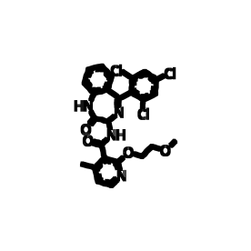 COCCOc1nccc(C)c1C(=O)NC1N=C(c2c(Cl)cc(Cl)cc2Cl)c2ccccc2NC1=O